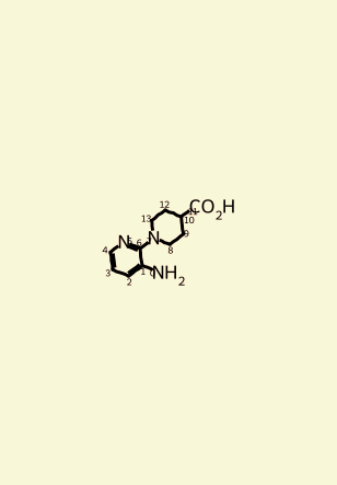 Nc1cccnc1N1CCC(C(=O)O)CC1